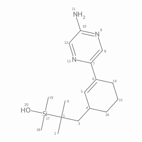 CC(C)(CC1C=C(c2cnc(N)cn2)CCC1)[Si](C)(C)O